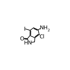 Nc1cc(I)c2c(c1Cl)CNC2=O